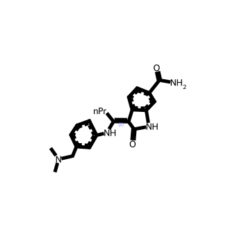 CCC/C(Nc1cccc(CN(C)C)c1)=C1/C(=O)Nc2cc(C(N)=O)ccc21